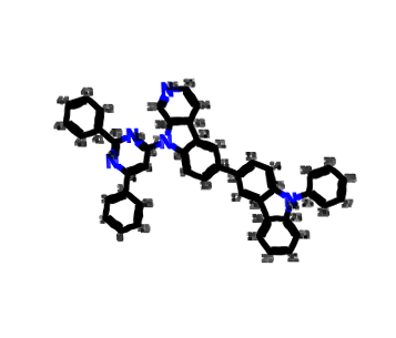 c1ccc(-c2cc(-n3c4ccc(-c5ccc6c(c5)c5ccccc5n6-c5ccccc5)cc4c4ccncc43)nc(-c3ccccc3)n2)cc1